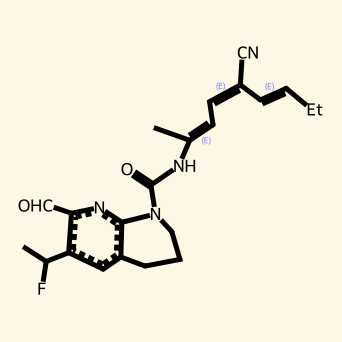 CC/C=C/C(C#N)=C\C=C(/C)NC(=O)N1CCCc2cc(C(C)F)c(C=O)nc21